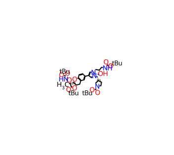 CC(C)(C)OC(=O)NCC(O)Cn1cc(-c2ccc3c(c2)CC[C@H](C(C)(ONC(=O)OC(C)(C)C)C(=O)OC(C)(C)C)O3)c[n+]1C[C@@H]1CCN(C(=O)OC(C)(C)C)C1